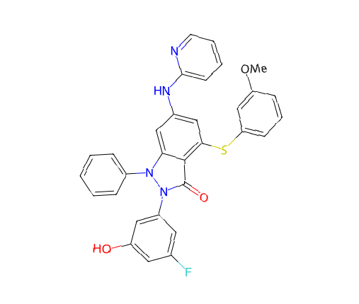 COc1cccc(Sc2cc(Nc3ccccn3)cc3c2c(=O)n(-c2cc(O)cc(F)c2)n3-c2ccccc2)c1